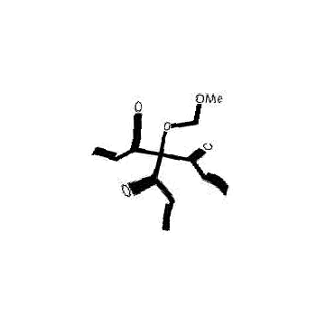 C=CC(=O)C(OCOC)(C(=O)C=C)C(=O)C=C